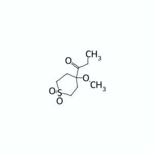 CCC(=O)C1(OC)CCS(=O)(=O)CC1